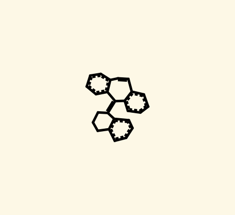 C1=Cc2ccccc2C(=C2CCCc3ccccc32)c2ccccc21